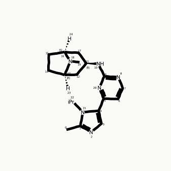 Cc1ncc(-c2ccnc(N[C@H]3C[C@H]4CC[C@@H](C3)N4C)n2)n1C(C)C